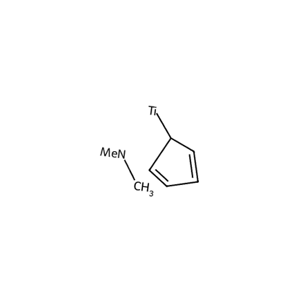 CNC.[Ti][CH]1C=CC=C1